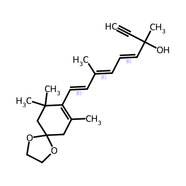 C#CC(C)(O)/C=C/C=C(C)/C=C/C1=C(C)CC2(CC1(C)C)OCCO2